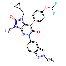 Cn1cc2cc(-n3nc4c(c(-c5ccc(OC(F)F)cc5)c3=O)n(CC3CC3)c(=O)n4C)ccc2n1